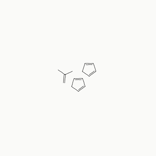 C1=CCC=C1.C1=CCC=C1.C=C(C)C